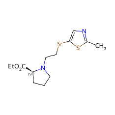 CCOC(=O)[C@@H]1CCCN1CCSc1cnc(C)s1